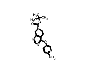 CC(C)(C)OC(=O)N1CCc2c(ncnc2Oc2ccc(N)nc2)C1